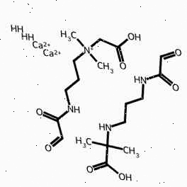 CC(C)(NCCCNC(=O)C=O)C(=O)O.C[N+](C)(CCCNC(=O)C=O)CC(=O)O.[Ca+2].[Ca+2].[HH].[HH]